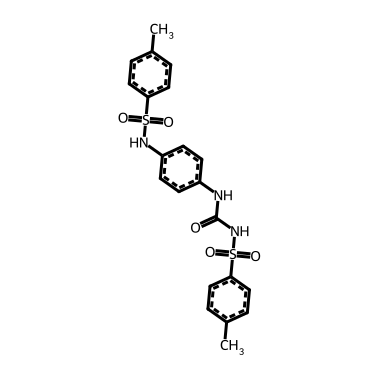 Cc1ccc(S(=O)(=O)NC(=O)Nc2ccc(NS(=O)(=O)c3ccc(C)cc3)cc2)cc1